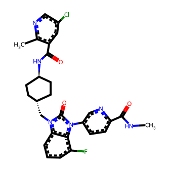 CNC(=O)c1ccc(-n2c(=O)n(C[C@H]3CC[C@H](NC(=O)c4cc(Cl)cnc4C)CC3)c3cccc(F)c32)cn1